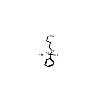 Br.CCCCCCCCCCCCNC(C)(C)c1ccccc1